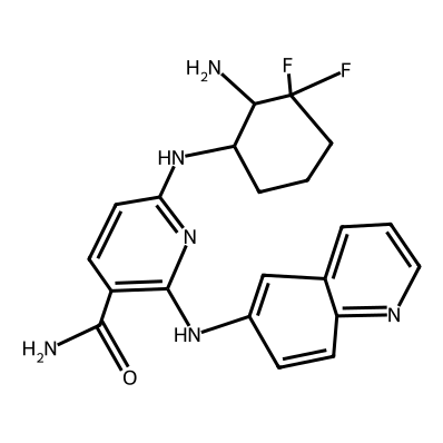 NC(=O)c1ccc(NC2CCCC(F)(F)C2N)nc1Nc1ccc2ncccc2c1